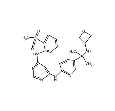 CC(C)(NC1COC1)c1ccc(Nc2cc(Nc3ccccc3S(C)(=O)=O)ncn2)nc1